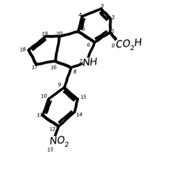 O=C(O)c1cccc2c1NC(c1ccc([N+](=O)[O-])cc1)C1CC=CC21